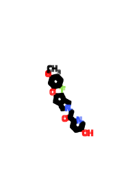 COc1ccc(F)c(OC2CC3CN(CC(=O)c4ccc(O)cn4)CC3C2)c1